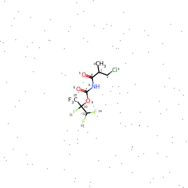 CC(CCl)C(=O)NC(=O)OC(F)(C(F)F)C(F)(F)F